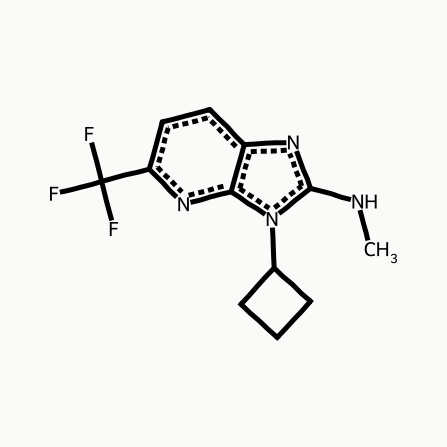 CNc1nc2ccc(C(F)(F)F)nc2n1C1CCC1